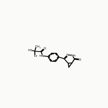 CCC(C)(S)C(=O)Nc1ccc(C2=NNC(=O)C3CC23)cc1